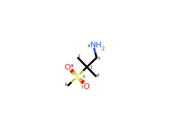 CC(C)(CN)S(C)(=O)=O